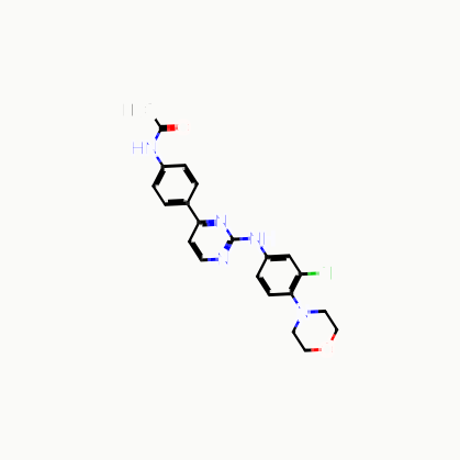 CC(=O)Nc1ccc(-c2ccnc(Nc3ccc(N4CCOCC4)c(Cl)c3)n2)cc1